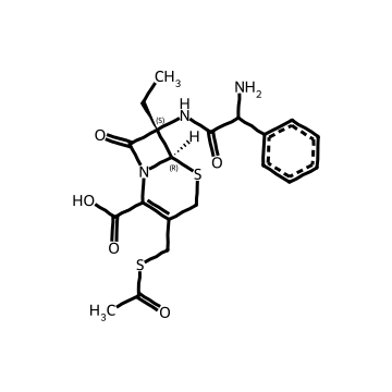 CC[C@]1(NC(=O)C(N)c2ccccc2)C(=O)N2C(C(=O)O)=C(CSC(C)=O)CS[C@@H]21